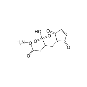 NOC(=O)CC(CN1C(=O)C=CC1=O)S(=O)(=O)O